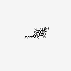 CCC(CO)N1C(=O)c2cc(C#N)c3c4c(cc(C#N)c(c24)C1=O)C(=O)N(c1ccc(CCCCS)cc1)C3=O